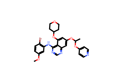 COc1ccc(Br)c(Nc2ncnc3cc(OC(C)Oc4ccncc4)cc(OC4CCOCC4)c23)c1